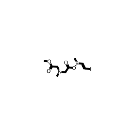 COC(=O)CN(C)CC(=O)OB(C)/C=C/I